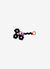 O=CCCCC/C=N/O[Si](c1ccccc1)(c1ccccc1)c1ccccc1